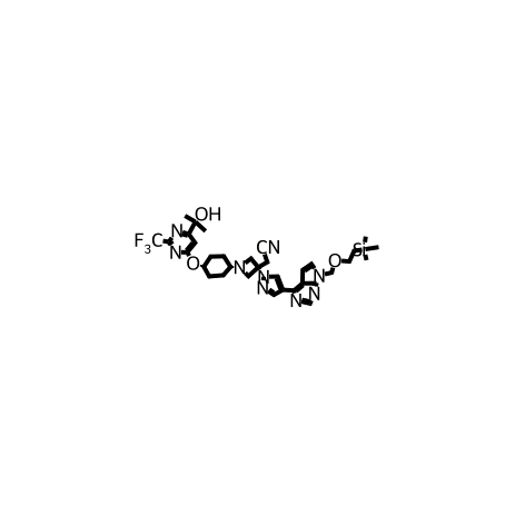 CC(C)(O)c1cc(O[C@H]2CC[C@@H](N3CC(CC#N)(n4cc(-c5ncnc6c5ccn6COCC[Si](C)(C)C)cn4)C3)CC2)nc(C(F)(F)F)n1